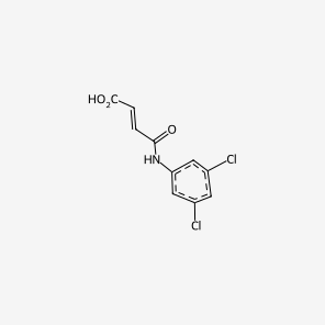 O=C(O)C=CC(=O)Nc1cc(Cl)cc(Cl)c1